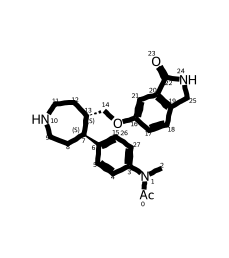 CC(=O)N(C)c1ccc([C@H]2CCNCC[C@@H]2COc2ccc3c(c2)C(=O)NC3)cc1